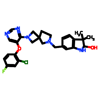 CC1(C)c2ccc(CN3CCC4(C3)CN(c3ncncc3Oc3ccc(F)cc3Cl)C4)cc2NC1O